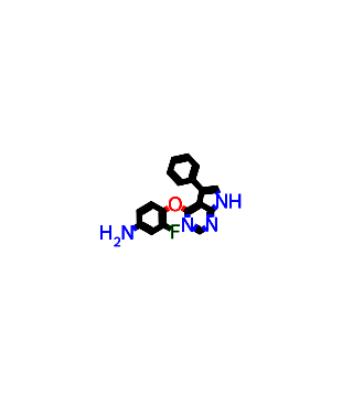 Nc1ccc(Oc2ncnc3[nH]cc(-c4ccccc4)c23)c(F)c1